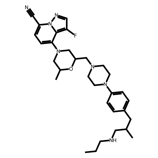 CCCNCC(C)Cc1ccc(N2CCN(CC3CN(c4ccc(C#N)n5ncc(F)c45)CC(C)O3)CC2)cc1